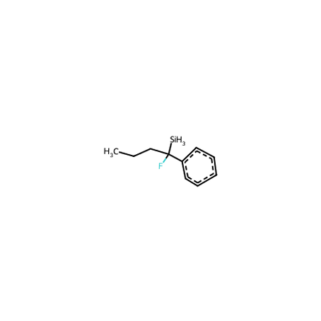 CCCC(F)([SiH3])c1ccccc1